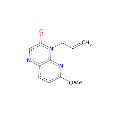 C=CCn1c(=O)cnc2ccc(OC)nc21